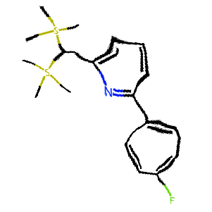 CS(C)(C)C(c1cccc(-c2ccc(F)cc2)n1)S(C)(C)C